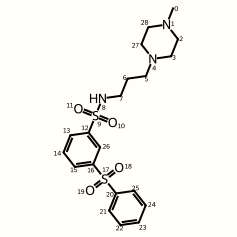 CN1CCN(CCCNS(=O)(=O)c2cccc(S(=O)(=O)c3ccccc3)c2)CC1